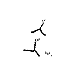 CC(C)O.CC(C)O.N